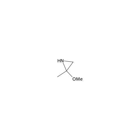 COC1(C)CN1